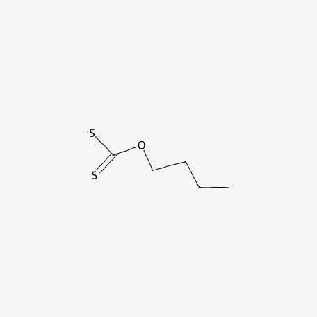 CCCCOC([S])=S